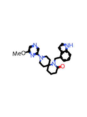 COc1cncc(N2CCC3(CCCC(=O)N3Cc3cccc4[nH]ccc34)CC2)n1